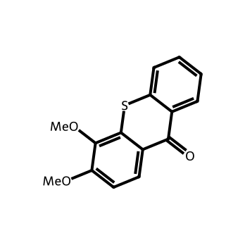 COc1ccc2c(=O)c3ccccc3sc2c1OC